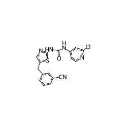 N#Cc1cccc(Cc2cnc(NC(=O)Nc3ccnc(Cl)c3)s2)c1